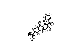 CCO[PH](=O)c1ccc(C(=O)c2c(C)cc(C)c(C(=O)c3ccccc3)c2C)cc1